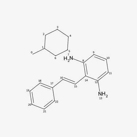 CC1CCCCC1.Nc1cccc(N)c1C=Cc1ccccc1